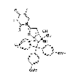 COc1ccc(C(c2ccccc2)(c2ccc(OC)cc2)C(O)[C@@]2(CC[N+](=O)[O-])O[C@@H](n3cc(C)c(=O)[nH]c3=O)C[C@@]2(O)[Si](C)(C)C(C)(C)C)cc1